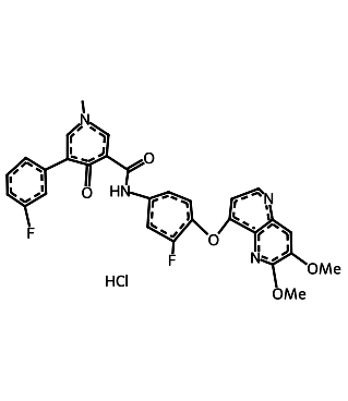 COc1cc2nccc(Oc3ccc(NC(=O)c4cn(C)cc(-c5cccc(F)c5)c4=O)cc3F)c2nc1OC.Cl